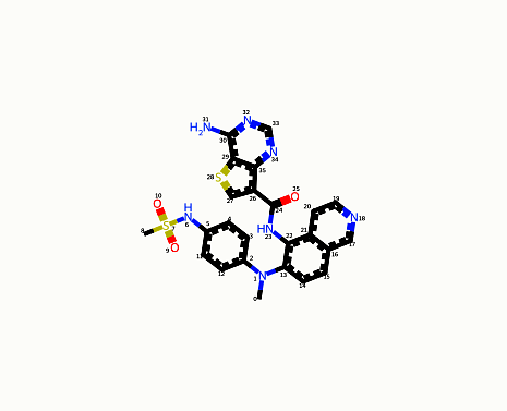 CN(c1ccc(NS(C)(=O)=O)cc1)c1ccc2cnccc2c1NC(=O)c1csc2c(N)ncnc12